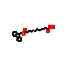 O=C(O)CCCCCCCCCCC(=O)OCC1c2ccccc2-c2ccccc21